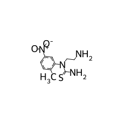 Cc1ccc([N+](=O)[O-])cc1N(CCN)C(N)=S